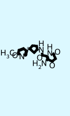 COc1ccc([C@@H]2CC[C@H](NC(=O)C3=C(N)C(=O)CC(=O)N3)C2)cn1